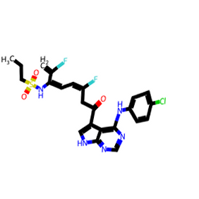 C=C(F)/C(=C\C=C(\F)CC(=O)c1c[nH]c2ncnc(Nc3ccc(Cl)cc3)c12)NS(=O)(=O)CCC